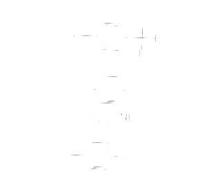 O=S(=O)(Nc1ccc(Oc2cc(C(F)(F)F)ccc2Cl)cc1F)c1cc(Cl)ccc1Cl